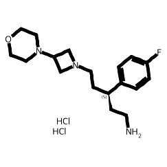 Cl.Cl.NCC[C@@H](CCN1CC(N2CCOCC2)C1)c1ccc(F)cc1